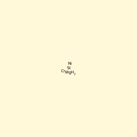 [Cr].[MgH2].[Ni].[Si]